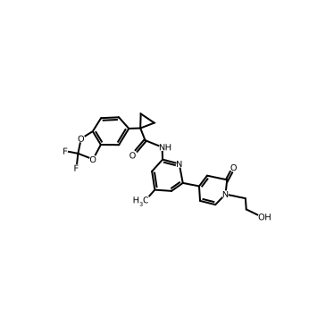 Cc1cc(NC(=O)C2(c3ccc4c(c3)OC(F)(F)O4)CC2)nc(-c2ccn(CCO)c(=O)c2)c1